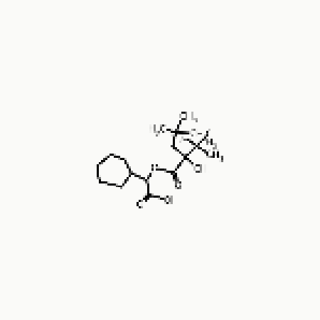 CC(C)(C)CC(C)(C(=O)OC(C(=O)O)C1CCCCC1)C(C)(C)C